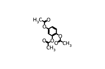 CC(=O)Oc1ccc(OC(C)=O)c(OC(C)=O)c1